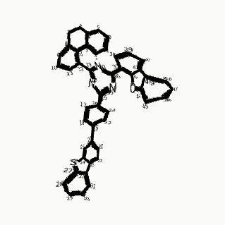 c1ccc2c(c1)ccc1cccc(-c3nc(-c4ccc(-c5ccc6c(c5)sc5ccccc56)cc4)nc(-c4cccc5c4oc4ccccc45)n3)c12